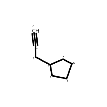 C#CCC1CCCC1